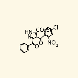 CCOC(=O)c1[nH]nc(C(=O)c2ccccc2)c1C(=O)c1ccc(Cl)cc1[N+](=O)[O-]